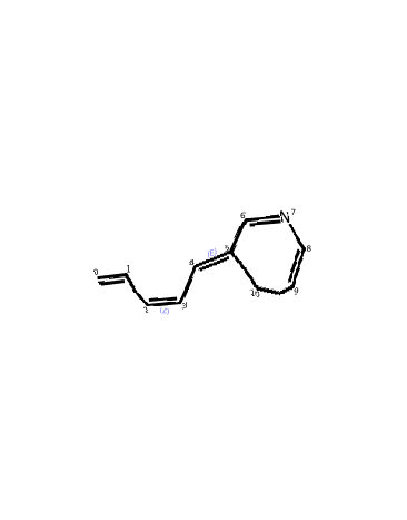 C=C/C=C\C=C1\C=NC=CC1